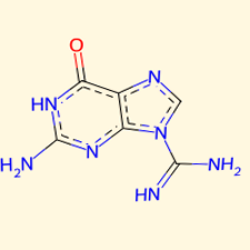 N=C(N)n1cnc2c(=O)[nH]c(N)nc21